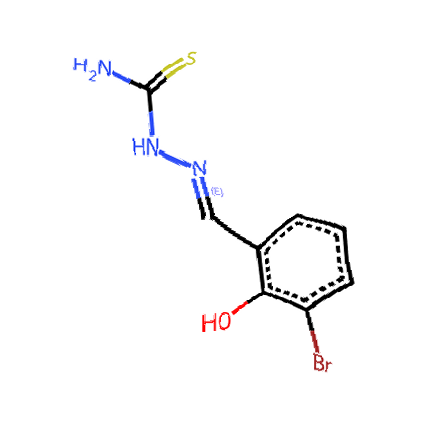 NC(=S)N/N=C/c1cccc(Br)c1O